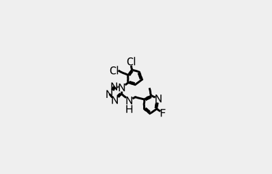 Cc1nc(F)ccc1CNc1nnnn1-c1cccc(Cl)c1Cl